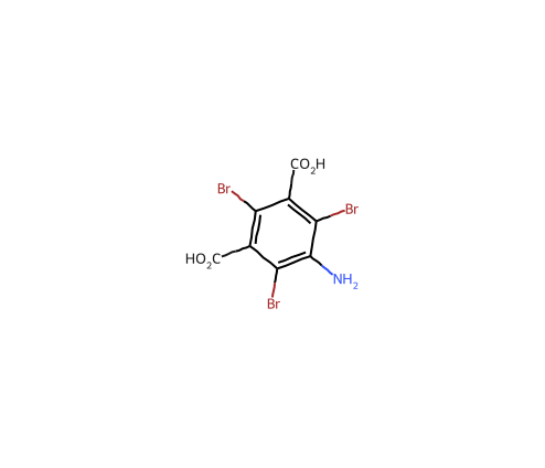 Nc1c(Br)c(C(=O)O)c(Br)c(C(=O)O)c1Br